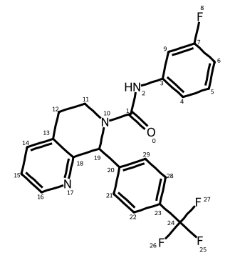 O=C(Nc1cccc(F)c1)N1CCc2cccnc2C1c1ccc(C(F)(F)F)cc1